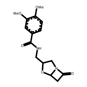 COc1ccc(C(=O)NCC2CN3C(=O)CC3O2)cc1OC